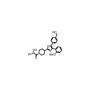 COc1ccccc1-c1nc(C2CCN(C(=O)N(O)C(C)C)CC2)oc1-c1ccc(CO)cc1